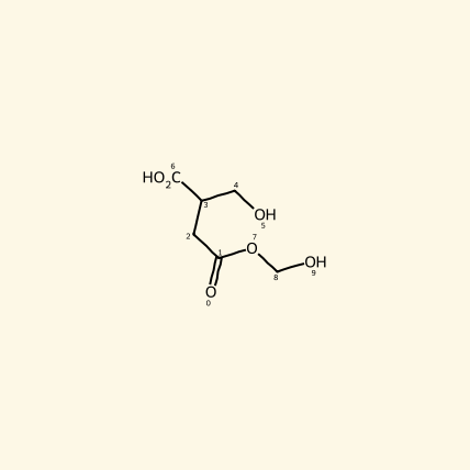 O=C(CC(CO)C(=O)O)OCO